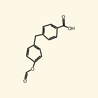 O=COc1ccc(Cc2ccc(C(=O)O)cc2)cc1